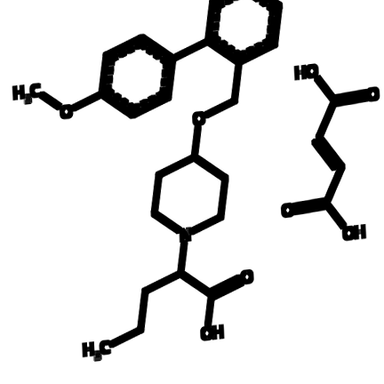 CCCC(C(=O)O)N1CCC(OCc2ccccc2-c2ccc(OC)cc2)CC1.O=C(O)C=CC(=O)O